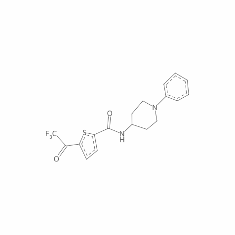 O=C(NC1CCN(c2ccccc2)CC1)c1ccc(C(=O)C(F)(F)F)s1